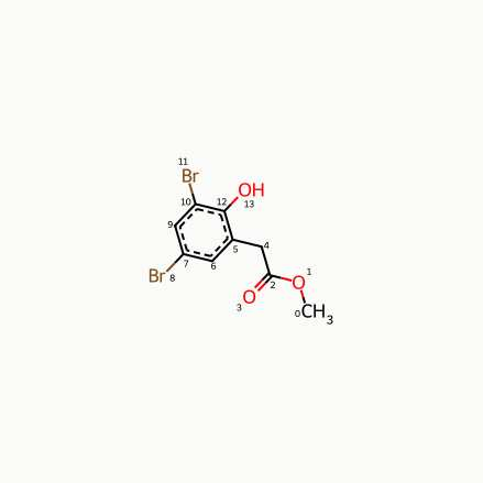 COC(=O)Cc1cc(Br)cc(Br)c1O